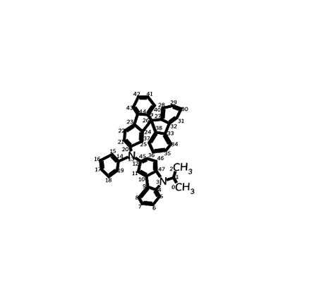 CC(C)n1c2ccccc2c2cc(N(c3ccccc3)c3ccc4c(c3)C3(c5ccccc5-c5ccccc53)c3ccccc3-4)ccc21